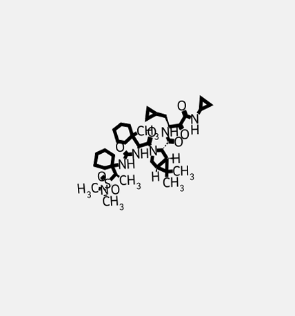 C[C@H](C1(NC(=O)N[C@H](C(=O)N2C[C@H]3[C@@H]([C@H]2C(=O)N[C@@H](CC2CC2)C(=O)C(=O)NC2CC2)C3(C)C)C2(C)CCCCC2)CCCCC1)S(=O)(=O)N(C)C